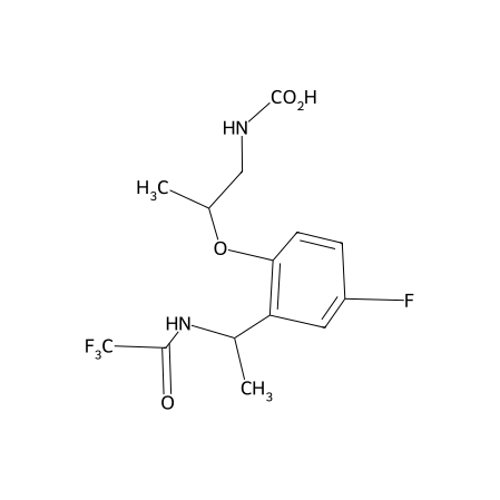 CC(CNC(=O)O)Oc1ccc(F)cc1C(C)NC(=O)C(F)(F)F